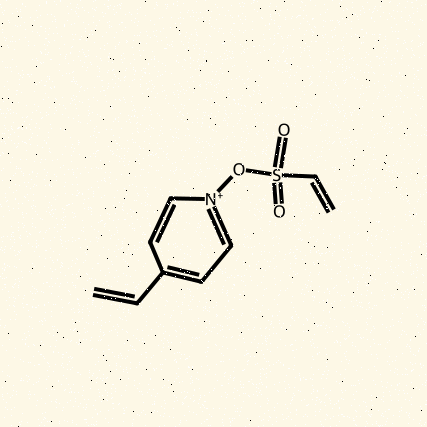 C=Cc1cc[n+](OS(=O)(=O)C=C)cc1